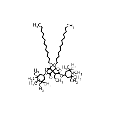 CCCCCCCCCCCCCOC(=O)C(C(=O)OCCCCCCCCCCCCC)(C(=O)OC1CC(C)(C)N(C)C(C)(C)C1)C(CC)C(=O)OC1CC(C)(C)N(C)C(C)(C)C1